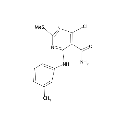 CSc1nc(Cl)c(C(N)=O)c(Nc2cccc(C)c2)n1